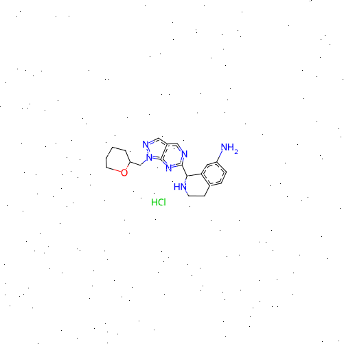 Cl.Nc1ccc2c(c1)C(c1ncc3cnn(CC4CCCCO4)c3n1)NCC2